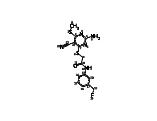 CSc1nc(N)nc(SCC(=O)Nc2cccc(CF)c2)c1C#N